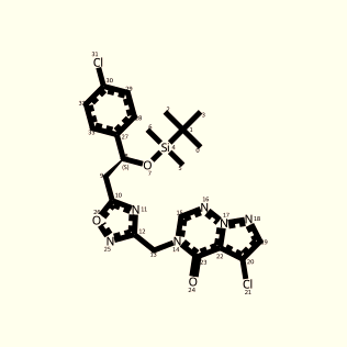 CC(C)(C)[Si](C)(C)O[C@@H](Cc1nc(Cn2cnn3ncc(Cl)c3c2=O)no1)c1ccc(Cl)cc1